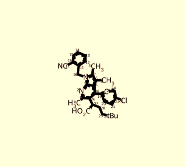 Cc1nc2c(c(C)c(C)n2Cc2ccccc2C#N)c(-c2ccc(Cl)cc2)c1C(CCC(C)(C)C)C(=O)O